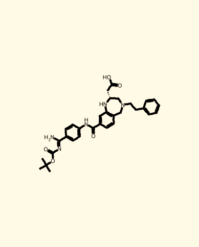 CC(C)(C)OC(=O)N=C(N)c1ccc(NC(=O)c2ccc3c(c2)N[C@H](CC(=O)O)CN(CCc2ccccc2)C3)cc1